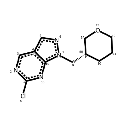 Clc1ncc2cnn(C[C@H]3CCCOC3)c2n1